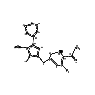 CNc1c(C)c(CC2=CC(F)=C(C(N)=O)NC2)nn1-c1ccccc1